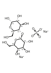 O=S(=O)([O-])[O-].OC[C@H]1O[C@@H](O[C@H]2[C@H](O)[C@@H](O)[C@@H](O)O[C@@H]2CO)[C@H](O)[C@@H](O)[C@H]1O.[Na+].[Na+]